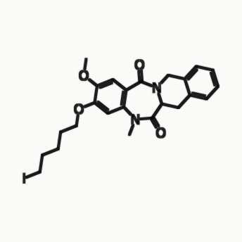 COc1cc2c(cc1OCCCCCI)N(C)C(=O)C1Cc3ccccc3CN1C2=O